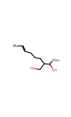 CCCCCCCCC(O)C(CO)CCCC=CC(C)(C)C